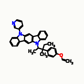 C=COc1ccc(C(C)(CC)C(C)n2c3ccccc3c3cc4c(cc32)c2ccccc2n4-c2cccnc2)cc1